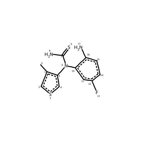 Cc1cscc1N(C(N)=S)c1cc(F)ccc1N